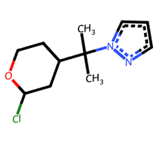 CC(C)(C1CCOC(Cl)C1)n1cccn1